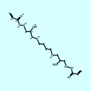 C=CC(=O)OOCC(O)COCCCCOCC(O)COOC(=O)C=C